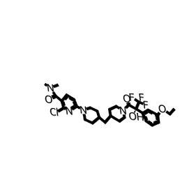 CCOc1cccc([C@@](O)(C(=O)N2CCC(CC3CCN(c4ccc(C(=O)N(C)C)c(Cl)n4)CC3)CC2)C(F)(F)F)c1